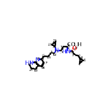 O=C(CCC1CC1)NC(CCN(CCCCc1ccc2c(n1)NCCC2)C1CC1)C(=O)O